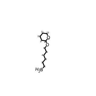 BCCCCCCOC1CCCCO1